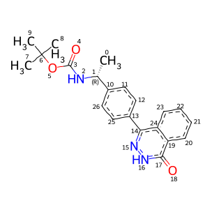 C[C@@H](NC(=O)OC(C)(C)C)c1ccc(-c2n[nH]c(=O)c3ccccc23)cc1